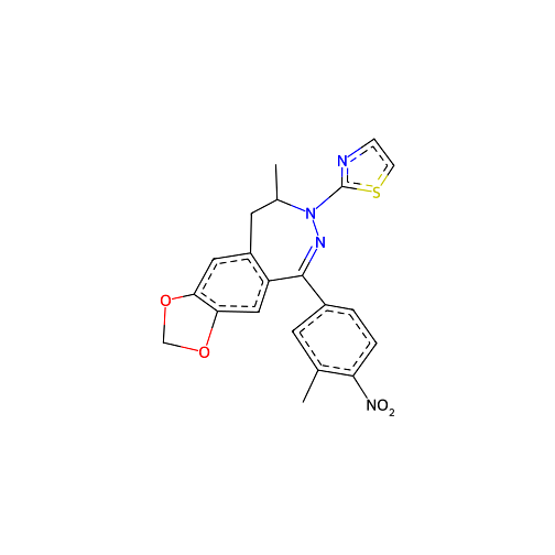 Cc1cc(C2=NN(c3nccs3)C(C)Cc3cc4c(cc32)OCO4)ccc1[N+](=O)[O-]